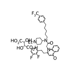 CCN1CCC(N(CCCCCc2ccc(C(F)(F)F)cc2)C(=O)Cn2c(CCc3cccc(F)c3F)cc(=O)c3ccccc32)CC1.O=C(O)C(O)C(O)C(=O)O